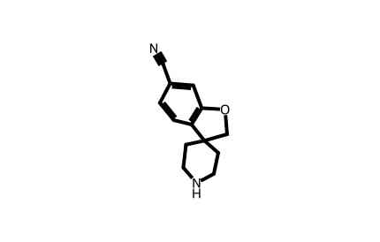 N#Cc1ccc2c(c1)OCC21CCNCC1